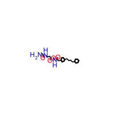 NCC(=O)NCCC(=O)ONC(=O)Cc1ccc(CCCCc2ccccc2)cc1